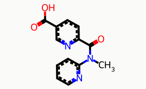 CN(C(=O)c1ccc(C(=O)O)cn1)c1ccccn1